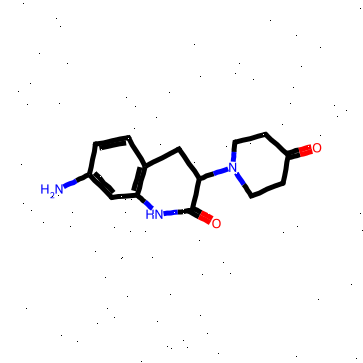 Nc1ccc2c(c1)NC(=O)C(N1CCC(=O)CC1)C2